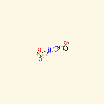 CN1C(=O)SC(CC(=O)NCC2CCN(Cc3cccc4c3OC(C)(C)C4)CC2)C1=O